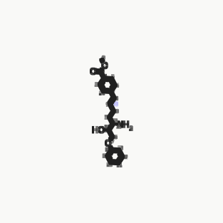 COC(=O)c1ccc(/C=C/CC[C@@H](N)[C@H](O)COc2ccccc2)cc1